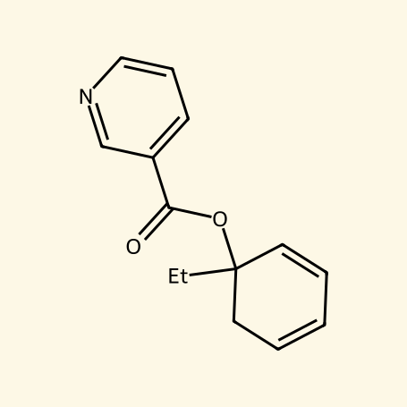 CCC1(OC(=O)c2cccnc2)C=CC=CC1